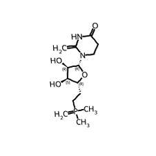 C=C1NC(=O)CCN1[C@@H]1O[C@H](CCP(=C)(C)C)[C@@H](O)[C@H]1O